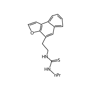 CCCNC(=S)NCCc1cc2ccccc2c2ccoc12